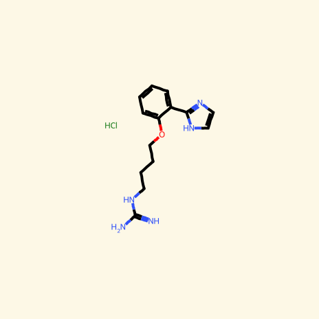 Cl.N=C(N)NCCCCOc1ccccc1-c1ncc[nH]1